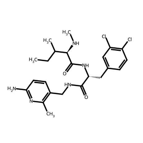 CCC(C)[C@@H](NC)C(=O)N[C@H](Cc1ccc(Cl)c(Cl)c1)C(=O)NCc1ccc(N)nc1C